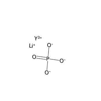 O=P([O-])([O-])[O-].[Li+].[Y+3]